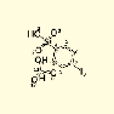 O=S(=O)(O)c1ccc(I)cc1.O=[SH](=O)O